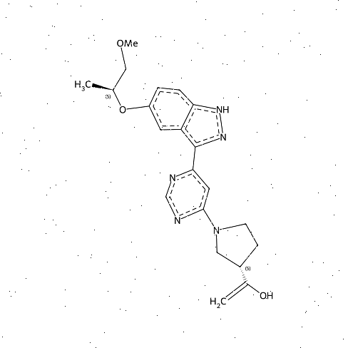 C=C(O)[C@H]1CCN(c2cc(-c3n[nH]c4ccc(O[C@@H](C)COC)cc34)ncn2)C1